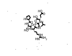 CC(C)C[C@H](NC(=O)[C@H](CCCNC(=N)N)NC(=O)[C@H](CO)NC(=O)[C@@H]1CCCN1)C(=O)N[C@@H](CCC(=O)O)C(=O)O